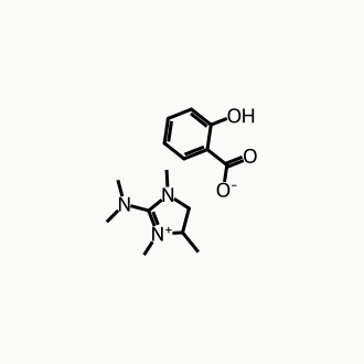 CC1CN(C)C(N(C)C)=[N+]1C.O=C([O-])c1ccccc1O